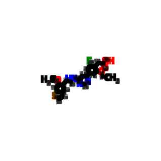 CCOc1cc(-c2cc(NCCc3cc4ccsc4cc3OC)ncn2)cc(F)c1CC(=O)O